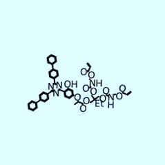 C=CC(=O)OCNC(=O)OCC(CC)(COC(=O)NCOC(=O)C=C)COC(=O)C(C)Oc1ccc(-c2nc(-c3ccc(-c4ccccc4)cc3)nc(-c3ccc(-c4ccccc4)cc3)n2)c(O)c1